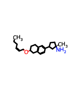 CCC/C=C\CO[C@H]1CCc2cc(C3CC[C@@](C)(N)C3)ccc2C1